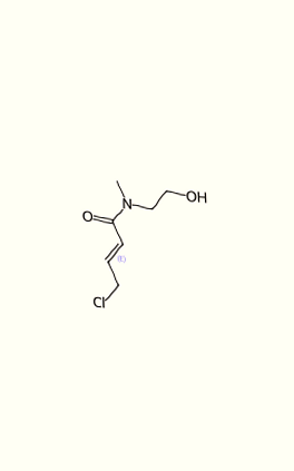 CN(CCO)C(=O)/C=C/CCl